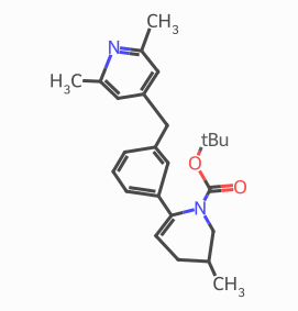 Cc1cc(Cc2cccc(C3=CCC(C)CN3C(=O)OC(C)(C)C)c2)cc(C)n1